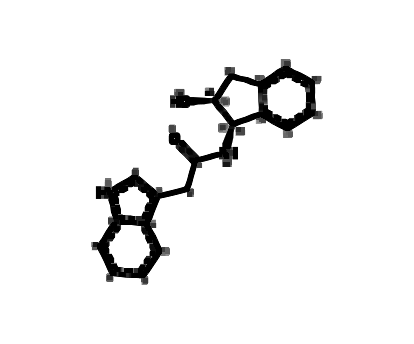 O=C(Cc1c[nH]c2ccccc12)N[C@@H]1c2ccccc2C[C@@H]1O